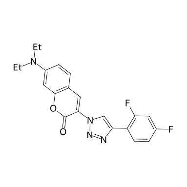 CCN(CC)c1ccc2cc(-n3cc(-c4ccc(F)cc4F)nn3)c(=O)oc2c1